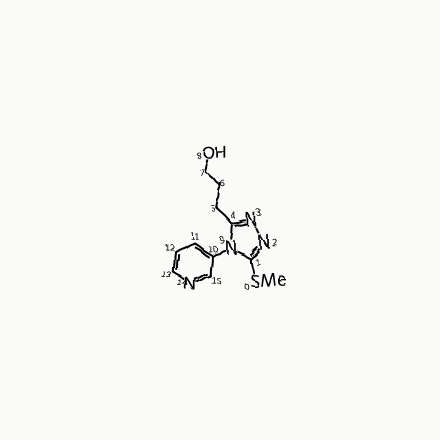 CSc1nnc(CCCO)n1-c1cccnc1